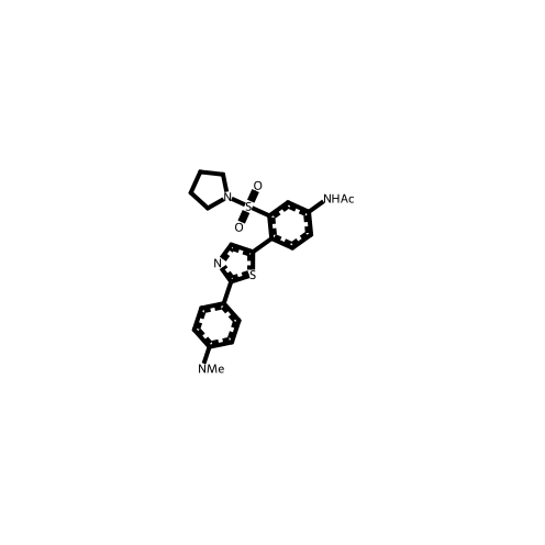 CNc1ccc(-c2ncc(-c3ccc(NC(C)=O)cc3S(=O)(=O)N3CCCC3)s2)cc1